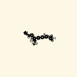 CN(C)C(=O)c1cc2c(-c3ccc(C4CCN(c5ccc(N[C@@H]6CCC(=O)NC6=O)cc5F)CC4)cc3)cc(C3=CCCN(C(=O)CCn4cccn4)C3)c(F)c2[nH]1